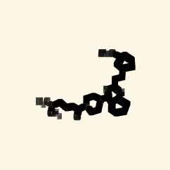 COc1cccc(CCc2nc(N3CCN(C(=O)/C=C/CN(C)C)CC3)c3ccccc3n2)c1